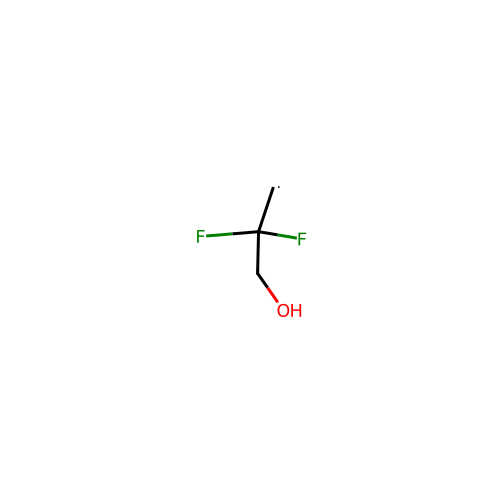 [CH2]C(F)(F)CO